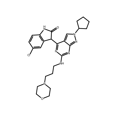 O=C1Nc2ccc(Cl)cc2C1c1nc(NCCCN2CCOCC2)nc2nn(C3CCCC3)cc12